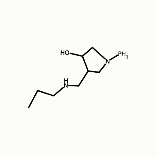 CCCNCC1CN(P)CC1O